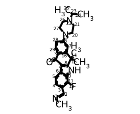 C/N=C/c1ccc2c3c([nH]c2c1F)C(C)(C)c1cc(N2CCN(C(C)C)CC2)ccc1C3=O